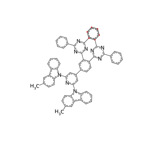 Cc1ccc2c(c1)c1ccccc1n2-c1cc(-c2ccc(-c3nc(-c4ccccc4)nc(-c4ccccc4)n3)c(-c3nc(-c4ccccc4)nc(-c4ccccc4)n3)c2)cc(-n2c3ccccc3c3cc(C)ccc32)n1